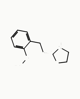 COc1ccccc1CC[C@@H]1NCCS1